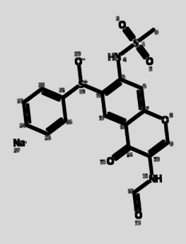 CS(=O)(=O)Nc1cc2occ(NC=O)c(=O)c2cc1[S+]([O-])c1ccccc1.[Na]